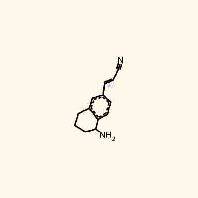 N#C/C=C/c1ccc2c(c1)CCCC2N